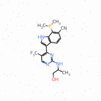 CC(CO)Nc1ncc(C(F)(F)F)c(-c2c[nH]c3c(P(C)C)c(C#N)ccc23)n1